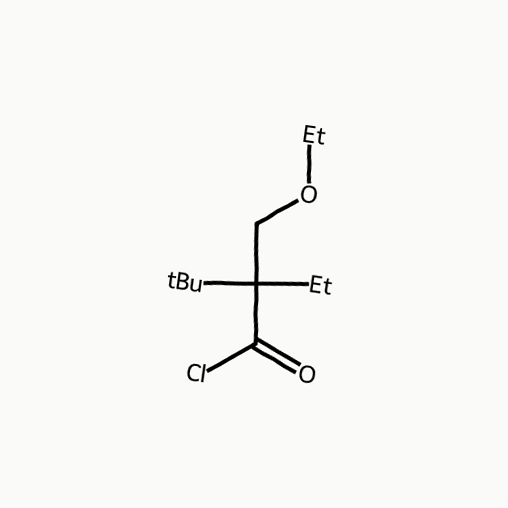 CCOCC(CC)(C(=O)Cl)C(C)(C)C